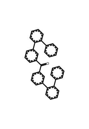 O=C(c1cccc(-c2ccccc2-c2ccccc2)c1)c1cccc(-c2ccccc2-c2ccccc2)c1